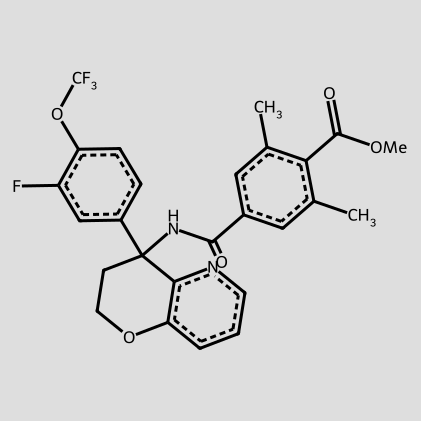 COC(=O)c1c(C)cc(C(=O)NC2(c3ccc(OC(F)(F)F)c(F)c3)CCOc3cccnc32)cc1C